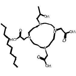 CC(O)CN1CCN(CC(=O)O)CCN(CC(=O)O)CCN(CC(=O)O)CC1.CCCCCCCCCC